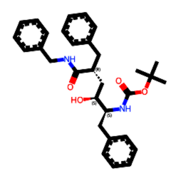 CC(C)(C)OC(=O)N[C@@H](Cc1ccccc1)[C@@H](O)C[C@@H](Cc1ccccc1)C(=O)NCc1ccccc1